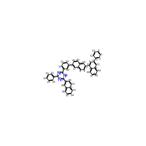 c1ccc(-c2cc(-c3ccc4cc(-c5cccc(-c6nc(-c7ccccc7)nc(-c7ccc8ccccc8c7)n6)c5)ccc4c3)c3ccccc3c2)cc1